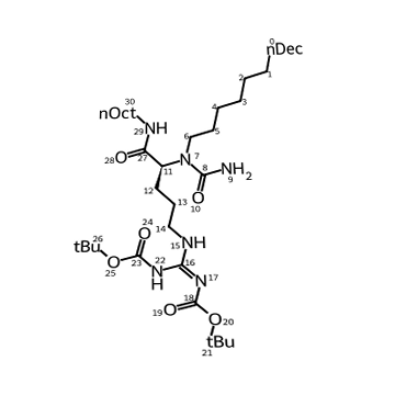 CCCCCCCCCCCCCCCCN(C(N)=O)[C@@H](CCCN/C(=N/C(=O)OC(C)(C)C)NC(=O)OC(C)(C)C)C(=O)NCCCCCCCC